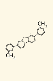 Cc1cccc(-c2[c]c3c(cc2)-c2ccc(-c4cccc(C)c4)cc2C3)c1